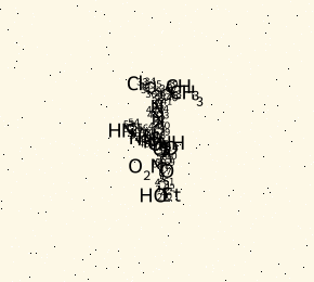 CCC1(O)CCC(COc2ccc(S(=O)(=O)NC(=O)c3ccc(N4CCN(CC5=C(c6ccc(Cl)cc6)CC(C)(C)CC5)CC4)cc3-n3ncc4nc5[nH]ccc5cc43)cc2[N+](=O)[O-])CC1